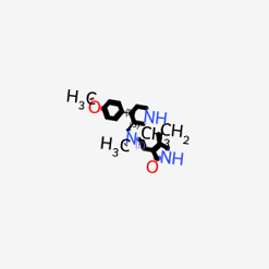 C=CC1=C(/C=C(\C)N(C)C[C@@H]2CNCC[C@H]2c2ccc(OC)cc2)C(=O)NC1